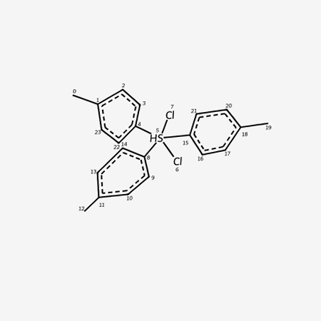 Cc1ccc([SH](Cl)(Cl)(c2ccc(C)cc2)c2ccc(C)cc2)cc1